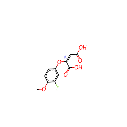 COc1ccc(O/C(=C/C(=O)O)C(=O)O)cc1F